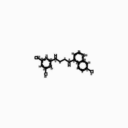 Clc1ccc2c(NCCNc3nc(Cl)cc(Cl)n3)ccnc2c1